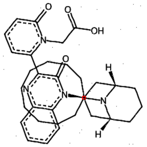 O=C(O)Cn1c(-c2nc3ccccc3n([C@@H]3C[C@H]4CCC[C@@H](C3)N4C3CCCCCCCCC3)c2=O)cccc1=O